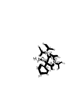 CC(C)N(C(C)C)C(C)C(OP)(c1ccccc1)C(C)N(C(C)C)C(C)C